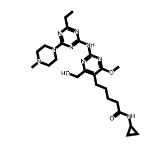 CCc1nc(Nc2nc(CO)c(CCCCC(=O)NC3CC3)c(OC)n2)nc(N2CCN(C)CC2)n1